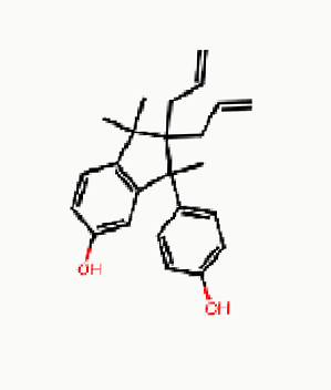 C=CCC1(CC=C)C(C)(C)c2ccc(O)cc2C1(C)c1ccc(O)cc1